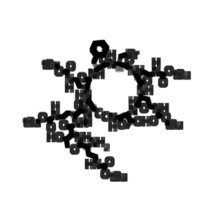 CC(C)C[C@@H]1NC(=O)[C@@H](Cc2ccccc2)NC(=O)[C@H](CCNC(=O)OC(C)(C)C)NC(=O)[C@@H](NC(=O)[C@H](CCNC(=O)OC(C)(C)C)NC(=O)[C@@H](NC(=O)[C@@H](N)CCNC(=O)OC(C)(C)C)C(C)O)CCNC(=O)[C@H]([C@H](C)O)NC(=O)C(CCNC(=O)OC(C)(C)C)NC(=O)[C@H](CCNC(=O)OC(C)(C)C)NC1=O